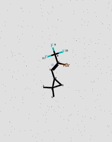 CC1(C)CC1/C=C(\Br)C(F)(F)F